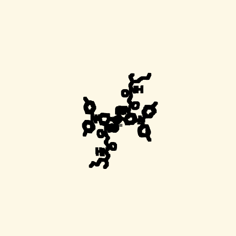 CCCCC(CC)CNC(=O)CCC(=O)NC1=CC(=[N+](c2ccc(C)cc2)c2ccc(C)cc2)C=C/C1=C1\C(=O)C(c2ccc(N(c3ccc(C)cc3)c3ccc(C)cc3)cc2NC(=O)CCC(=O)NCC(CC)CCCC)=C1[O-]